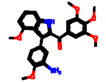 COc1ccc(-c2c(C(=O)c3cc(OC)c(OC)c(OC)c3)[nH]c3cccc(OC)c23)cc1N